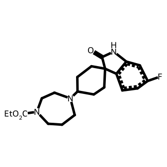 CCOC(=O)N1CCCN(C2CCC3(CC2)C(=O)Nc2cc(F)ccc23)CC1